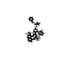 CC(C)[Si](C#Cc1c(F)ccc2cc3[nH]ncc3c(-c3nccc4c3sc3nc(OC[C@]5(COCc6ccccc6)CC5(F)F)nc(N5C[C@H]6CC[C@@H](C5)N6)c34)c12)(C(C)C)C(C)C